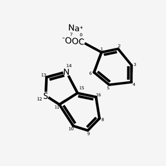 O=C([O-])c1ccccc1.[Na+].c1ccc2scnc2c1